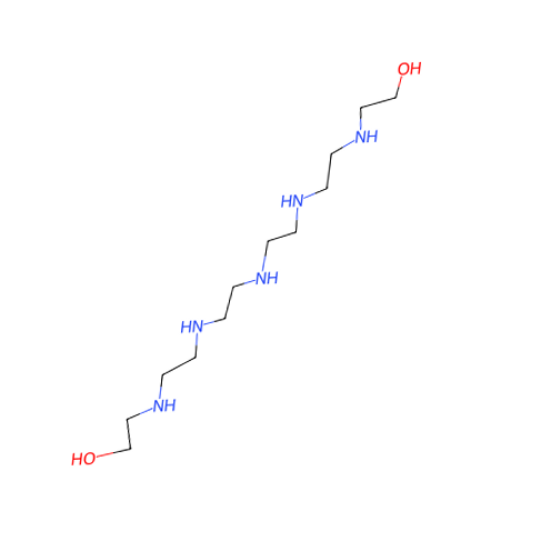 OCCNCCNCCNCCNCCNCCO